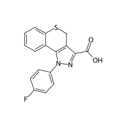 O=C(O)c1nn(-c2ccc(F)cc2)c2c1CSc1ccccc1-2